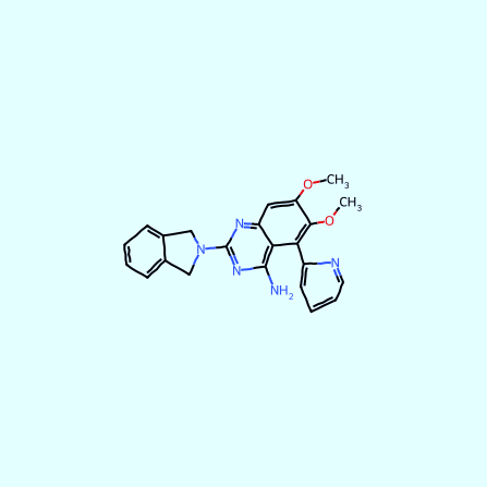 COc1cc2nc(N3Cc4ccccc4C3)nc(N)c2c(-c2ccccn2)c1OC